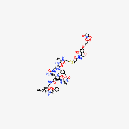 CC[C@H](C)[C@@H]([C@@H](CC(=O)NCCC[C@@H]1C[C@@]1(OC)[C@@H](C)C(=O)N[C@H](C)[C@@H](O)c1ccccc1)OC)N(C)C(=O)[C@@H](NC(=O)[C@H](C(C)C)N(C)C(=O)OCc1ccc(NC(=O)[C@H](CCCNC(N)=O)NC(=O)[C@@H](NC(=O)CCSSC(C)(C)CC(=O)N/N=C2\CCOc3cc(OCCCC(=O)ON4C(=O)CCC4=O)cc(O)c32)C(C)C)cc1)C(C)C